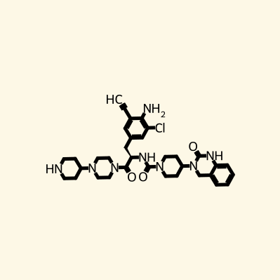 C#Cc1cc(C[C@@H](NC(=O)N2CCC(N3Cc4ccccc4NC3=O)CC2)C(=O)N2CCN(C3CCNCC3)CC2)cc(Cl)c1N